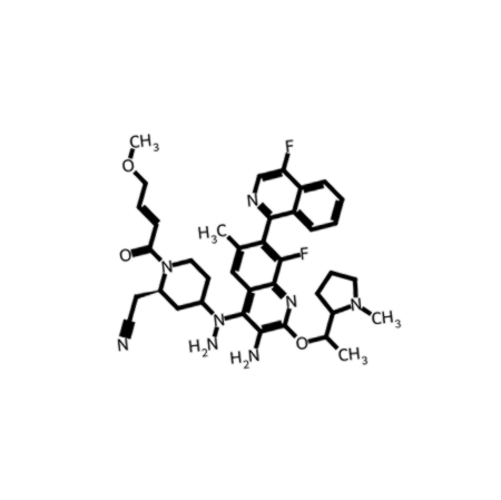 COC/C=C/C(=O)N1CCC(N(N)c2c(N)c(OC(C)C3CCCN3C)nc3c(F)c(-c4ncc(F)c5ccccc45)c(C)cc23)C[C@H]1CC#N